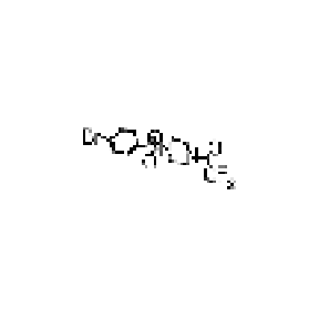 O=C(N1CCN(S(=O)(=O)c2ccc(Br)cc2)CC1)C(F)(F)F